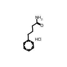 Cl.NC(=O)CCCc1ccccc1